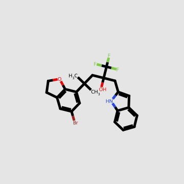 CC(C)(CC(O)(Cc1cc2c[c]ccc2[nH]1)C(F)(F)F)c1cc(Br)cc2c1OCC2